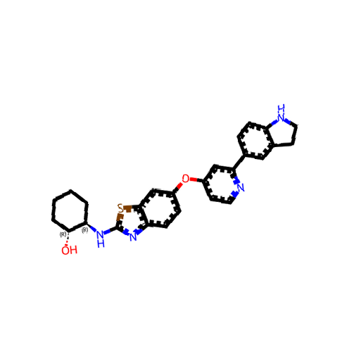 O[C@@H]1CCCC[C@H]1Nc1nc2ccc(Oc3ccnc(-c4ccc5c(c4)CCN5)c3)cc2s1